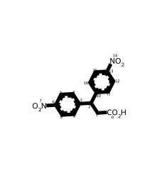 O=C(O)CC(c1ccc([N+](=O)[O-])cc1)c1ccc([N+](=O)[O-])cc1